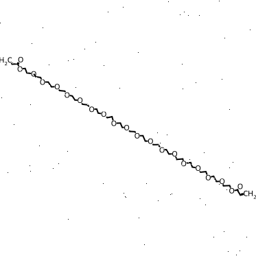 C=CC(=O)OCCOCCOCCOCCOCCOCCOCCOCCOCCOCCOCCOCCOCCOCCOCCOCCOCCOCCOC(=O)C=C